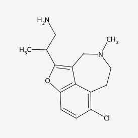 CC(CN)c1oc2ccc(Cl)c3c2c1CN(C)CC3